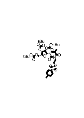 Cc1ccc(S(=O)(=O)OCCn2c(=O)c(C)cn([C@@H]3O[C@H](COC(=O)OC(C)(C)C)[C@H](OC(=O)OC(C)(C)C)C3OC(=O)OC(C)(C)C)c2=O)cc1